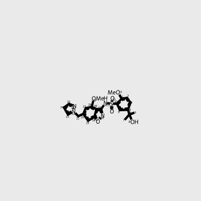 COc1ccc(C(C)(C)O)cc1S(=O)(=O)Nc1noc2cc(Cn3cccn3)cc(OC)c12